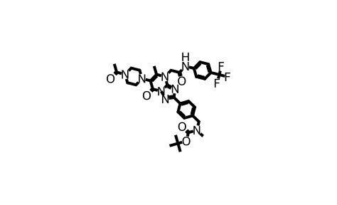 CC(=O)N1CCN(c2c(C)n(CC(=O)Nc3ccc(C(F)(F)F)cc3)c3nc(-c4ccc(CN(C)C(=O)OC(C)(C)C)cc4)nn3c2=O)CC1